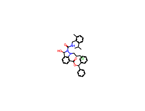 Cc1cccc(C(C)C)c1CNC(=O)N1C(O)c2cccc(C(=O)OC(c3ccccc3)c3ccccc3)c2N1CCCCl